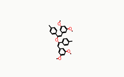 COc1cc(/C=C(/O/C(=C/c2cc(OC)cc(OC)c2)c2ccc(C)cc2)c2ccc(C)cc2)cc(OC)c1